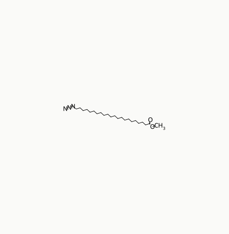 COC(=O)CCCCCCCCCCCCCCCCCCCCCN=[N+]=[N-]